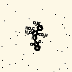 CC1=C(C(=O)O)C(c2cccc([N+](=O)[O-])c2)C(C(=O)O)=C(CCN2C(=O)c3ccccc3C2=O)N1